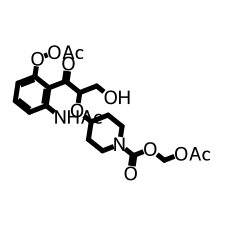 CC(=O)Nc1cccc(OOC(C)=O)c1C(=O)C(CO)OC1CCN(C(=O)OCOC(C)=O)CC1